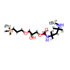 CC(C)S(C)(C)CCCOCC(O)COC(=O)NC(C)(C)CC(C)(C)NC(C)(C)C